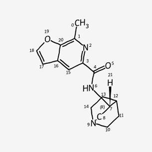 Cc1nc(C(=O)N[C@H]2CN3CCC2CC3)cc2ccoc12